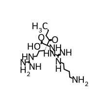 CCCC(=O)[C@@](CCCNC(=N)N)(NNC(=N)NCCCCN)C(=O)O